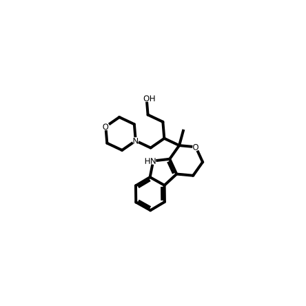 CC1(C(CCO)CN2CCOCC2)OCCc2c1[nH]c1ccccc21